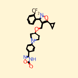 O=c1[nH]c(-c2ccc(N3CCC(OCc4c(-c5ccccc5C(F)(F)F)noc4C4CC4)CC3)cc2)no1